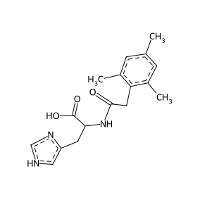 Cc1cc(C)c(CC(=O)NC(Cc2c[nH]cn2)C(=O)O)c(C)c1